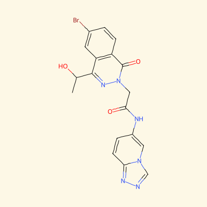 CC(O)c1nn(CC(=O)Nc2ccc3nncn3c2)c(=O)c2ccc(Br)cc12